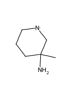 CC1(N)CCC[N]C1